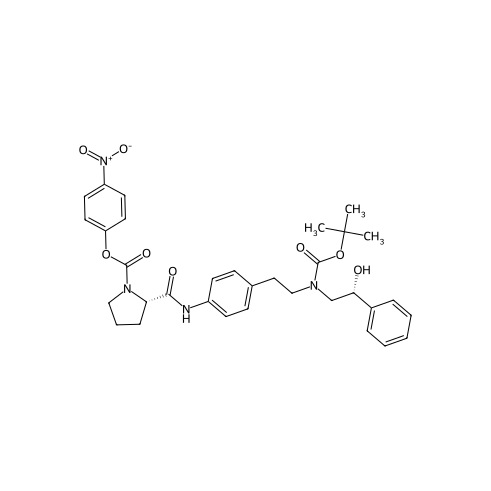 CC(C)(C)OC(=O)N(CCc1ccc(NC(=O)[C@@H]2CCCN2C(=O)Oc2ccc([N+](=O)[O-])cc2)cc1)C[C@H](O)c1ccccc1